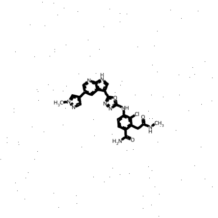 CNC(=O)Cc1c(C(N)=O)ccc(Nc2nnc(-c3c[nH]c4ncc(-c5cnn(C)c5)cc34)o2)c1Cl